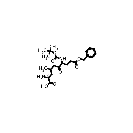 CC(CC(=O)C(CCC(=O)OCc1ccccc1)NC(=O)OC(C)(C)C)C[C@H](N)C(=O)O